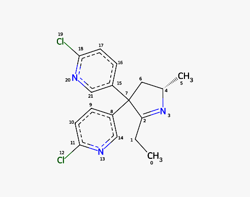 CCC1=N[C@@H](C)CC1(c1ccc(Cl)nc1)c1ccc(Cl)nc1